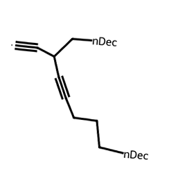 [C]#CC(C#CCCCCCCCCCCCCC)CCCCCCCCCCC